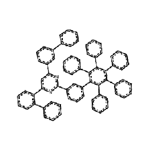 c1ccc(-c2cccc(-c3cc(-c4ccccc4-c4ccccc4)nc(-c4cccc(-c5c(-c6ccccc6)c(-c6ccccc6)c(-c6ccccc6)c(-c6ccccc6)c5-c5ccccc5)c4)n3)c2)cc1